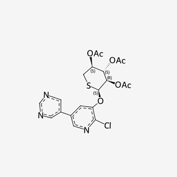 CC(=O)O[C@@H]1[C@@H](OC(C)=O)[C@@H](Oc2cc(-c3cncnc3)cnc2Cl)SC[C@H]1OC(C)=O